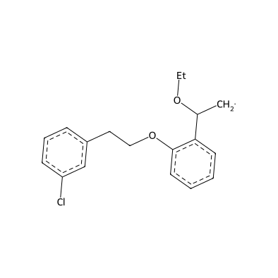 [CH2]C(OCC)c1ccccc1OCCc1cccc(Cl)c1